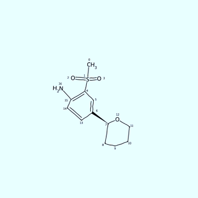 CS(=O)(=O)c1cc([C@@H]2CCCCO2)ccc1N